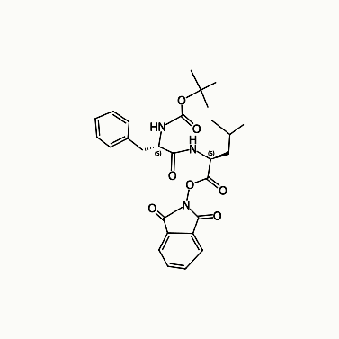 CC(C)C[C@H](NC(=O)[C@H](Cc1ccccc1)NC(=O)OC(C)(C)C)C(=O)ON1C(=O)c2ccccc2C1=O